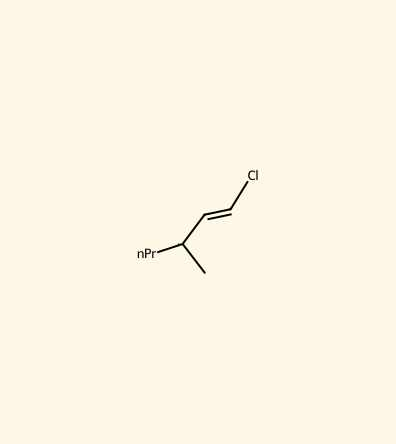 CCC[C](C)C=CCl